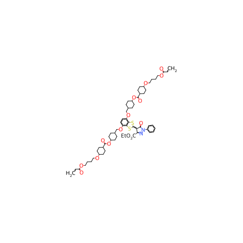 C=CC(=O)OCCCCOC1CCC(C(=O)OC2CCC(COc3ccc(OCC4CCC(OC(=O)C5CCC(OCCCCOC(=O)C=C)CC5)CC4)c4c3SC(=C3C(=O)N(c5ccccc5)N=C3C(=O)OCC)S4)CC2)CC1